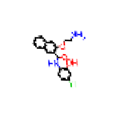 NCCOc1cc2ccccc2cc1C(=O)Nc1ccc(Cl)cc1O